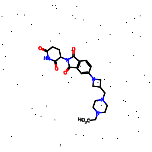 O=C(O)CN1CCN(CC2CN(c3ccc4c(c3)C(=O)N(C3CCC(=O)NC3=O)C4=O)C2)CC1